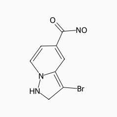 O=NC(=O)C1=CC2=C(Br)CNN2C=C1